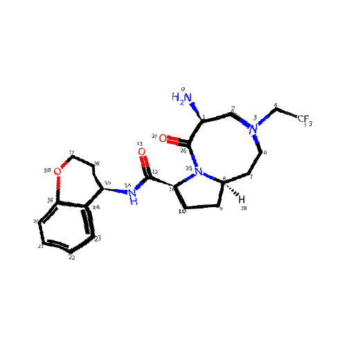 N[C@H]1CN(CC(F)(F)F)CC[C@H]2CC[C@@H](C(=O)N[C@@H]3CCOc4ccccc43)N2C1=O